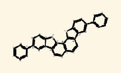 c1ccc(-c2ccc3oc4c(ccc5ccc6c7cc(-c8ccccc8)ccc7sc6c54)c3c2)cc1